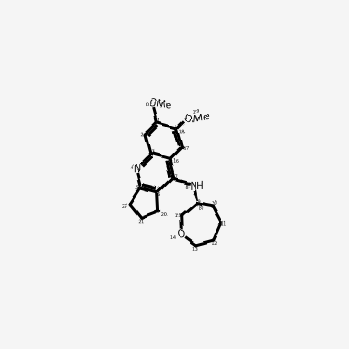 COc1cc2nc3c(c(N[C@H]4CCCCOC4)c2cc1OC)CCC3